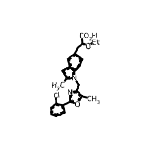 CCOC(Cc1ccc2c(c1)cc(C)n2Cc1nc(-c2ccccc2Cl)oc1C)C(=O)O